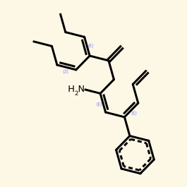 C=C/C=C(\C=C(\N)CC(=C)C(/C=C\CC)=C/CC)c1ccccc1